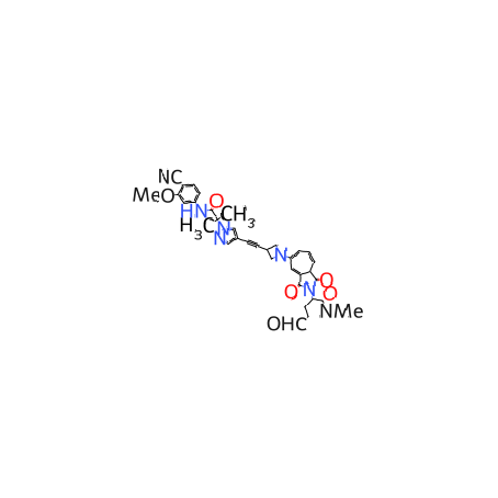 CNC(=O)C(CCC=O)N1C(=O)C2=CC(N3CC(C#Cc4cnn(C(C)(C)C(=O)Nc5ccc(C#N)c(OC)c5)c4)C3)=CC=CC2C1=O